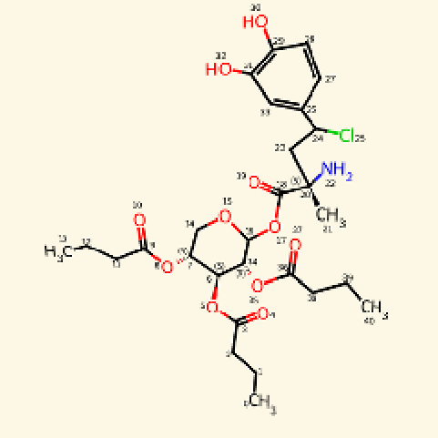 CCCC(=O)O[C@H]1[C@H](OC(=O)CCC)COC(OC(=O)[C@@](C)(N)CC(Cl)c2ccc(O)c(O)c2)[C@@H]1OC(=O)CCC